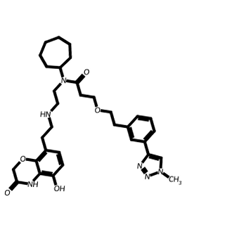 Cn1cc(-c2cccc(CCOCCC(=O)N(CCNCCc3ccc(O)c4c3OCC(=O)N4)C3CCCCCC3)c2)nn1